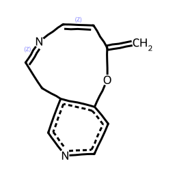 C=C1/C=C\N=C/Cc2cnccc2O1